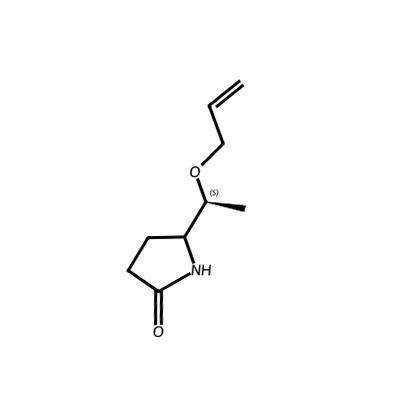 C=CCO[C@@H](C)C1CCC(=O)N1